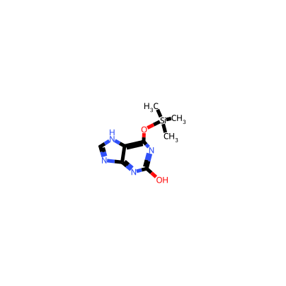 C[Si](C)(C)Oc1nc(O)nc2nc[nH]c12